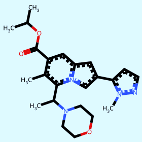 Cc1c(C(=O)OC(C)C)cc2cc(-c3ccnn3C)cn2c1C(C)N1CCOCC1